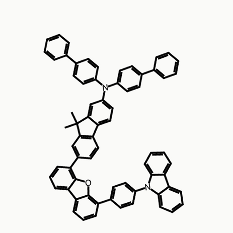 CC1(C)c2cc(-c3cccc4c3oc3c(-c5ccc(-n6c7ccccc7c7ccccc76)cc5)cccc34)ccc2-c2ccc(N(c3ccc(-c4ccccc4)cc3)c3ccc(-c4ccccc4)cc3)cc21